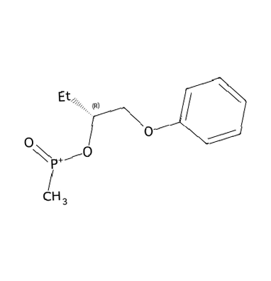 CC[C@H](COc1ccccc1)O[P+](C)=O